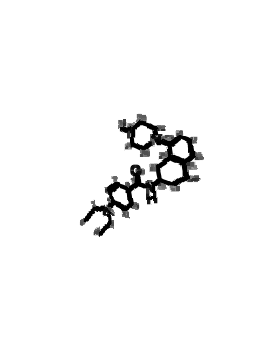 CCN(CC)c1ccc(C(=O)NC2CCc3cccc(N4CCN(C)CC4)c3C2)cc1